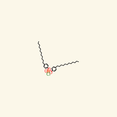 CCCCCCCCCCCCc1ccc(OP(=O)(Cl)Oc2ccc(CCCCCCCCCCCC)cc2)cc1